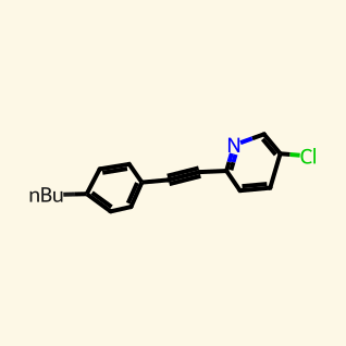 CCCCc1ccc(C#Cc2ccc(Cl)cn2)cc1